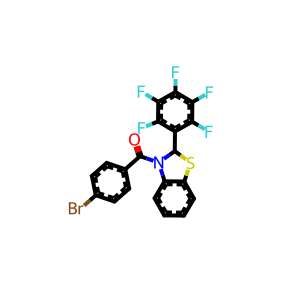 O=C(c1ccc(Br)cc1)N1c2ccccc2SC1c1c(F)c(F)c(F)c(F)c1F